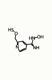 N=C(NO)c1ccnc(COS)c1